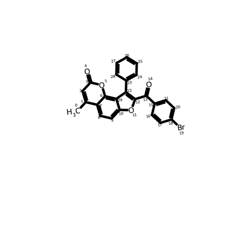 Cc1cc(=O)oc2c1ccc1oc(C(=O)c3ccc(Br)cc3)c(-c3ccccc3)c12